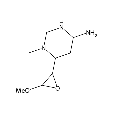 COC1OC1C1CC(N)NCN1C